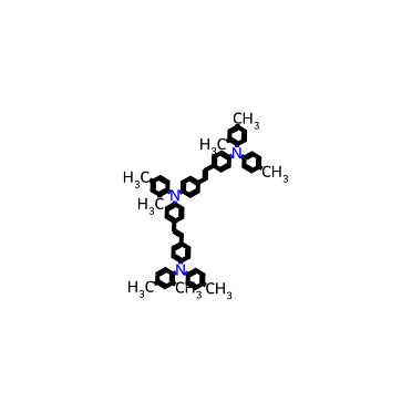 Cc1ccc(N(c2ccc(/C=C/c3ccc(N(c4ccc(/C=C/c5ccc(N(c6ccc(C)cc6)c6ccc(C)cc6C)cc5)cc4)c4ccc(C)cc4C)cc3)cc2)c2ccc(C)cc2C)cc1